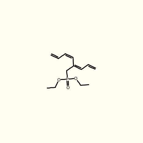 C=C/C=C\C(=C/C=C)CP(=O)(OCC)OCC